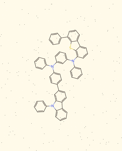 c1ccc(-c2cccc3c2sc2c(N(c4ccccc4)c4cccc(N(c5ccccc5)c5ccc(-c6ccc7c8ccccc8n(-c8ccccc8)c7c6)cc5)c4)cccc23)cc1